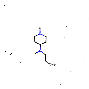 COCCN(C)C1CCN(C)CC1